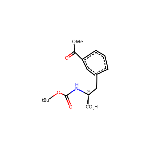 COC(=O)c1cccc(C[C@H](NC(=O)OC(C)(C)C)C(=O)O)c1